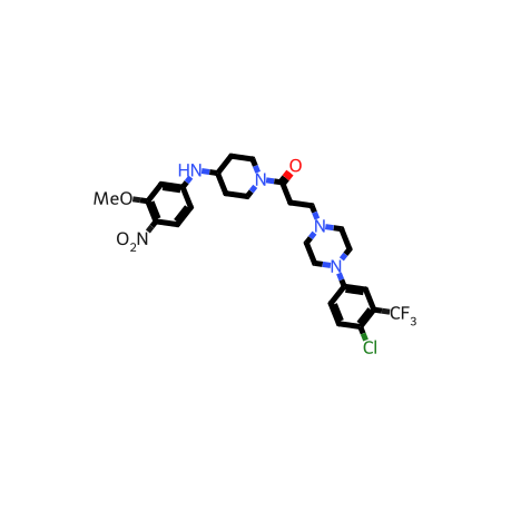 COc1cc(NC2CCN(C(=O)CCN3CCN(c4ccc(Cl)c(C(F)(F)F)c4)CC3)CC2)ccc1[N+](=O)[O-]